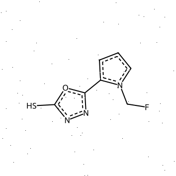 FCn1cccc1-c1nnc(S)o1